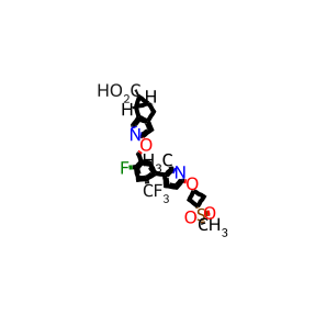 Cc1nc(OC2CC(S(C)(=O)=O)C2)ccc1-c1cc(COc2cc3c(cn2)[C@H]2[C@@H](C3)[C@@H]2C(=O)O)c(F)cc1C(F)(F)F